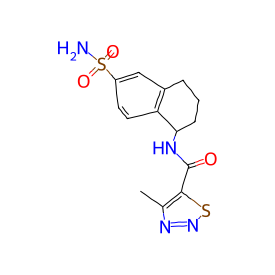 Cc1nnsc1C(=O)NC1CCCc2cc(S(N)(=O)=O)ccc21